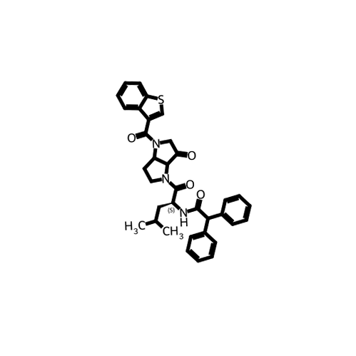 CC(C)C[C@H](NC(=O)C(c1ccccc1)c1ccccc1)C(=O)N1CCC2C1C(=O)CN2C(=O)c1csc2ccccc12